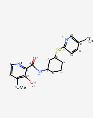 COc1ccnc(C(=O)NC2CCCC(Sc3ccc(C(F)(F)F)cn3)C2)c1O